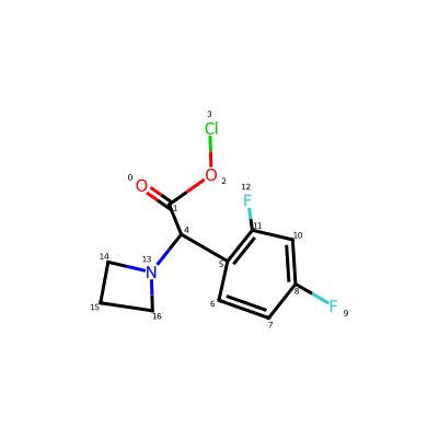 O=C(OCl)C(c1ccc(F)cc1F)N1CCC1